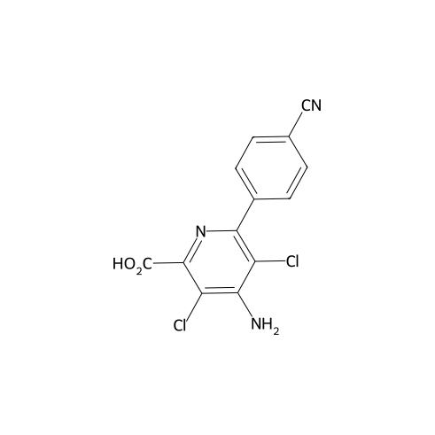 N#Cc1ccc(-c2nc(C(=O)O)c(Cl)c(N)c2Cl)cc1